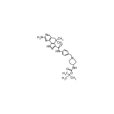 CC(C)(C)OC(=O)NC1CCN(Cc2ccc(NC(=O)c3n[nH]c4c3C(C)(C)Cc3cnc(N)nc3-4)cc2)CC1